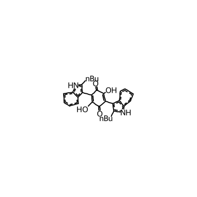 CCCCc1[nH]c2ccccc2c1C1=C(O)C(=O)C(c2c(CCCC)[nH]c3ccccc23)=C(O)C1=O